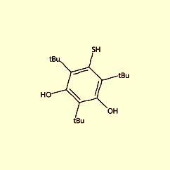 CC(C)(C)c1c(O)c(C(C)(C)C)c(S)c(C(C)(C)C)c1O